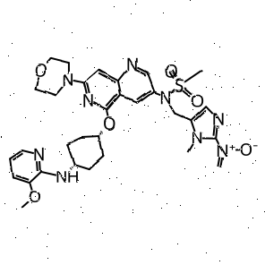 C=[N+]([O-])c1ncc(CN(c2cnc3cc(N4CCOCC4)nc(O[C@H]4CC[C@@H](Nc5ncccc5OC)CC4)c3c2)S(C)(=O)=O)n1C